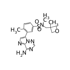 Cc1ccc(S(=O)(=O)N(C)CC2(C)COC2)cc1-c1cnc2c(N)ncnn12